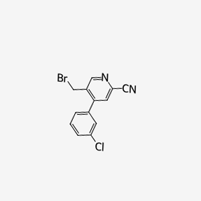 N#Cc1cc(-c2cccc(Cl)c2)c(CBr)cn1